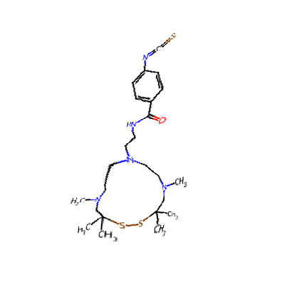 CN1CCN(CCNC(=O)c2ccc(N=C=S)cc2)CCN(C)CC(C)(C)SSC(C)(C)C1